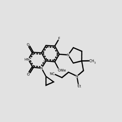 CCN(CCC#N)CC1(C)CCN(c2c(F)cc3c(=O)[nH]c(=O)n(C4CC4)c3c2OC)C1